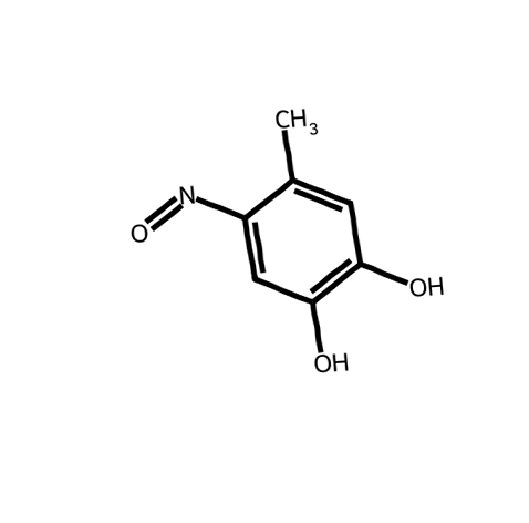 Cc1cc(O)c(O)cc1N=O